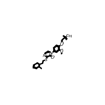 COc1cc(-n2ccnc(SCCc3ccccc3C)c2=O)ccc1OCC(C)(C)O